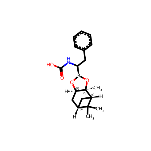 CC1(C)[C@@H]2C[C@H]3OB(C(Cc4ccccc4)NC(=O)O)O[C@@]3(C)[C@H]1C2